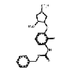 COC1CN(C(=O)O)CC1Oc1cccc(NC(=O)OCc2ccccc2)c1F